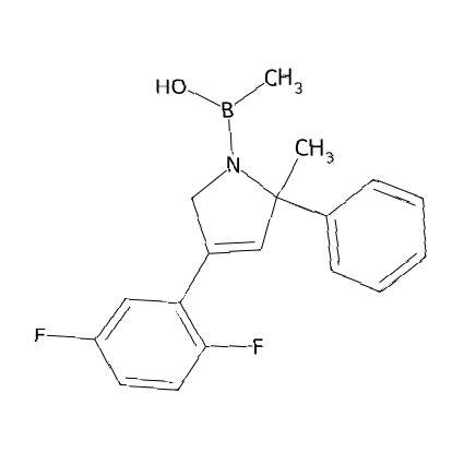 CB(O)N1CC(c2cc(F)ccc2F)=CC1(C)c1ccccc1